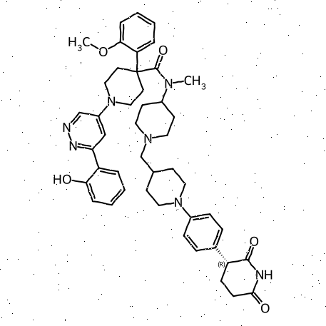 COc1ccccc1C1(C(=O)N(C)C2CCN(CC3CCN(c4ccc([C@H]5CCC(=O)NC5=O)cc4)CC3)CC2)CCN(c2cnnc(-c3ccccc3O)c2)CC1